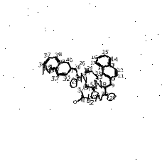 CC(C)C[C@H]1C(=O)N(C(Cc2ccc3ccccc3c2)C(N)=O)CC[C@@H](C)N1C(=O)Cc1ccc2ncccc2c1